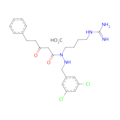 N=C(N)NCCC[C@@H](C(=O)O)N(NCc1cc(Cl)cc(Cl)c1)C(=O)CC(=O)CCc1ccccc1